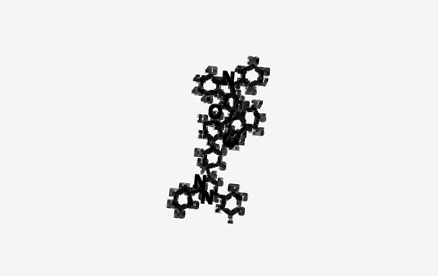 c1ccc(-c2cc(-c3ccc(-c4ccc5c(c4)C4(c6ccccc6-c6ccccc64)c4ccc6c(-c7ccccc7)nc7ccccc7c6c4O5)cc3)nc(-c3ccccc3)n2)cc1